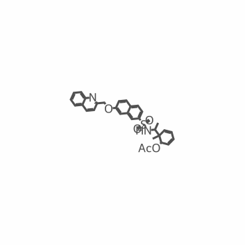 CC(=O)OC1C=CC=CC1(C)C(C)NS(=O)(=O)c1ccc2ccc(OCc3ccc4ccccc4n3)cc2c1